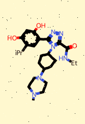 CCNC(=O)c1nnc(-c2cc(C(C)C)c(O)cc2O)n1C1CCC(N2CCN(C)CC2)CC1